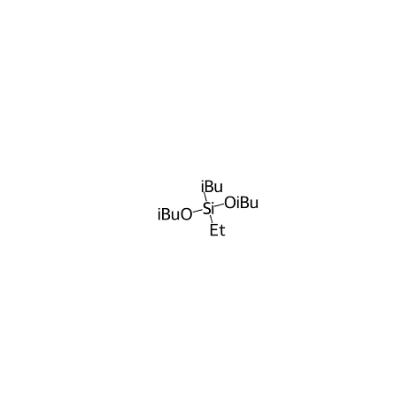 CCC(C)[Si](CC)(OCC(C)C)OCC(C)C